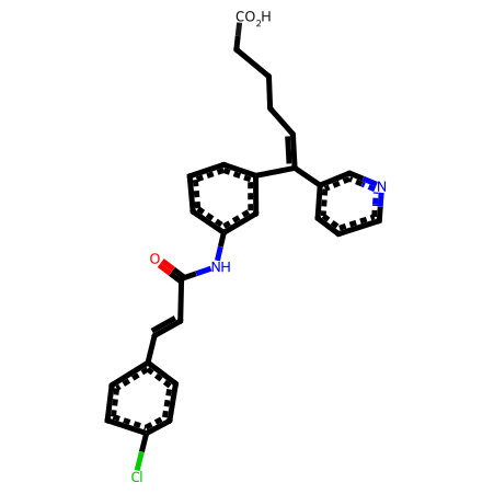 O=C(O)CCCC=C(c1cccnc1)c1cccc(NC(=O)C=Cc2ccc(Cl)cc2)c1